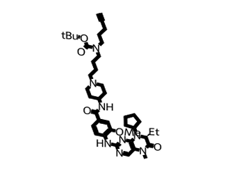 C#CCCCN(CCCCN1CCC(NC(=O)c2ccc(Nc3ncc4c(n3)N(C3CCCC3)[C@H](CC)C(=O)N4C)c(OC)c2)CC1)C(=O)OC(C)(C)C